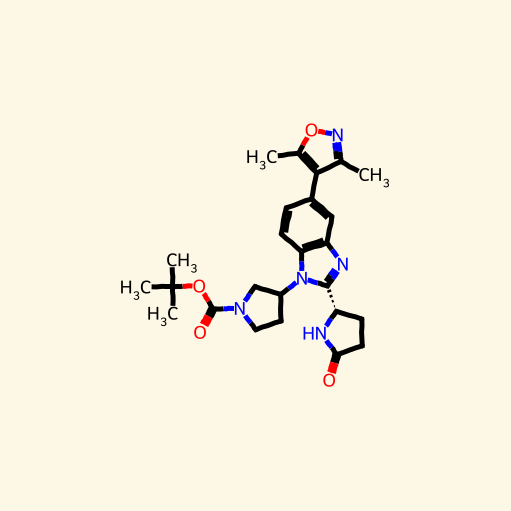 Cc1noc(C)c1-c1ccc2c(c1)nc([C@@H]1CCC(=O)N1)n2C1CCN(C(=O)OC(C)(C)C)C1